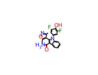 Cc1noc(C)c1-c1c(C(N)=O)c2ccccc2n1-c1cc(F)c(O)c(F)c1